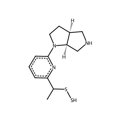 CC(SS)c1cccc(N2CC[C@H]3CNC[C@H]32)n1